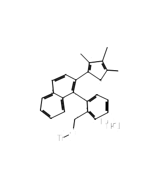 CC1=C(C)C(C)=C(c2ccc3ccccc3c2-c2ccccc2C[O][Ti])C1.Cl.Cl